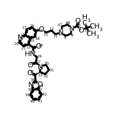 CC(C)(C)OC(=O)N1CCN(CCCOc2ccc3nccc(C(=O)NCC(=O)N4CCC[C@H]4C(=O)c4nc5ccccc5o4)c3c2)CC1